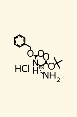 CC(C)(C)OC(=O)[C@H](CN)NC(=O)OCc1ccccc1.Cl